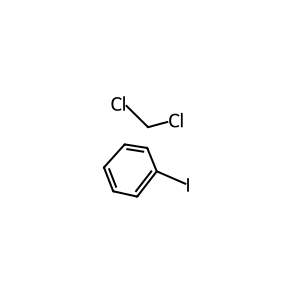 ClCCl.Ic1ccccc1